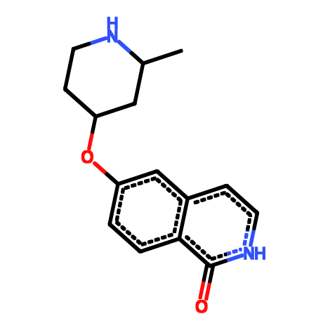 CC1CC(Oc2ccc3c(=O)[nH]ccc3c2)CCN1